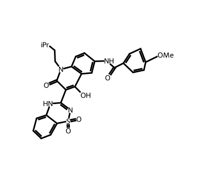 COc1ccc(C(=O)Nc2ccc3c(c2)c(O)c(C2=NS(=O)(=O)c4ccccc4N2)c(=O)n3CCC(C)C)cc1